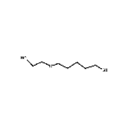 OCCOCCCCCS